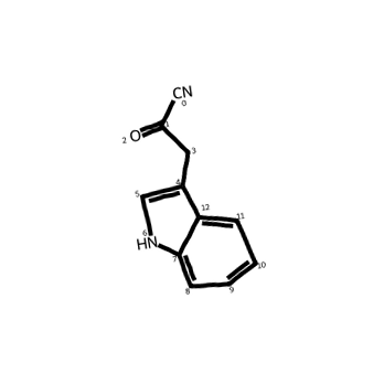 N#CC(=O)Cc1c[nH]c2ccccc12